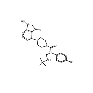 C[C@@H]1C[C@@H](O)c2ncnc(C3CCN(C(=O)[C@H](CNC(C)(C)C)c4ccc(Br)cc4)CC3)c21